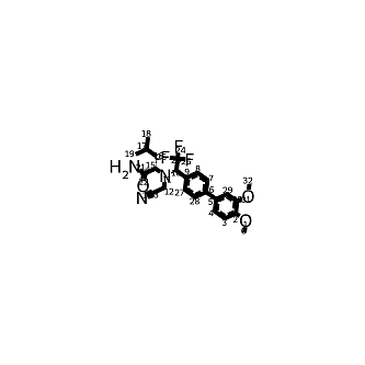 COc1ccc(-c2ccc([C@H](N(CC#N)[C@@H](CC(C)C)C(N)=O)C(F)(F)F)cc2)cc1OC